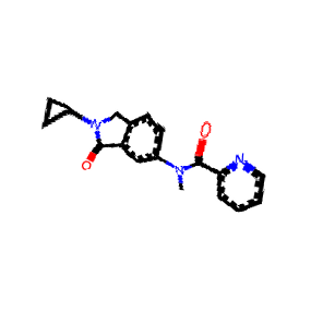 CN(C(=O)c1ccccn1)c1ccc2c(c1)C(=O)N(C1CC1)C2